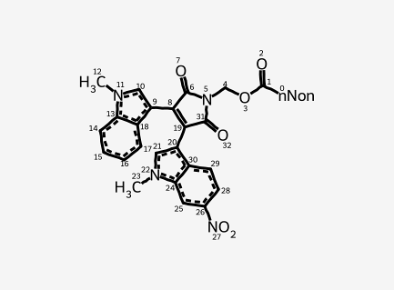 CCCCCCCCCC(=O)OCN1C(=O)C(c2cn(C)c3ccccc23)=C(c2cn(C)c3cc([N+](=O)[O-])ccc23)C1=O